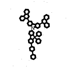 c1ccc(-c2ccc(-c3ccc4c(c3)C(c3ccccc3)(c3ccccc3)c3cc(-n5c6ccc(-c7cc8ccccc8c8ccccc78)cc6c6cc(-c7cc8ccccc8c8ccccc78)ccc65)ccc3-4)cc2)cc1